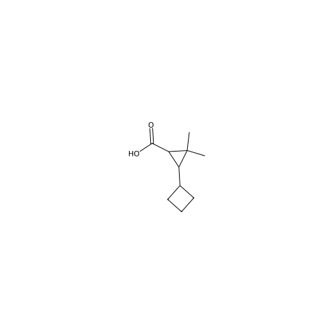 CC1(C)C(C(=O)O)C1C1CCC1